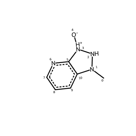 CN1N[NH+]([O-])c2ncccc21